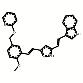 COc1ccc(COc2ccccn2)cc1/C=C/c1cc(/C=C/c2c[nH]c3ccccc23)[nH]n1